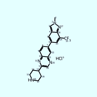 Cl.Cn1cc2cc(-c3ccc4nc(C5CCNCC5)cnc4c3)cc(C(F)(F)F)c2n1